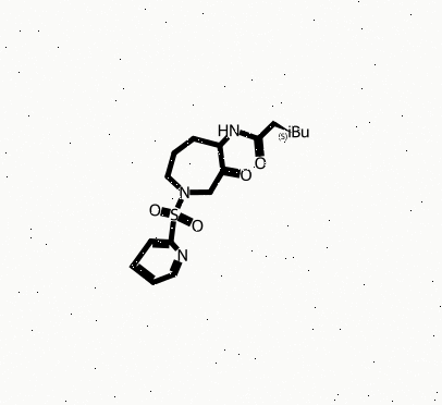 [CH2]C[C@H](C)CC(=O)NC1CCCN(S(=O)(=O)c2ccccn2)CC1=O